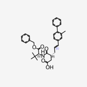 Cc1cc(/C=C/C[C@H](CC(=O)O)C(=O)N[C@H](C(=O)OCc2ccccc2)C(C)(C)C)ccc1-c1ccccc1